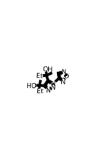 CCC(C)(O)c1nnn(-c2cnon2)c1C(C)(O)CC